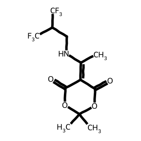 CC(NCC(C(F)(F)F)C(F)(F)F)=C1C(=O)OC(C)(C)OC1=O